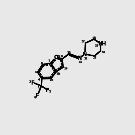 FC(F)(F)c1ccc2oc(C=NN3CCNCC3)cc2c1